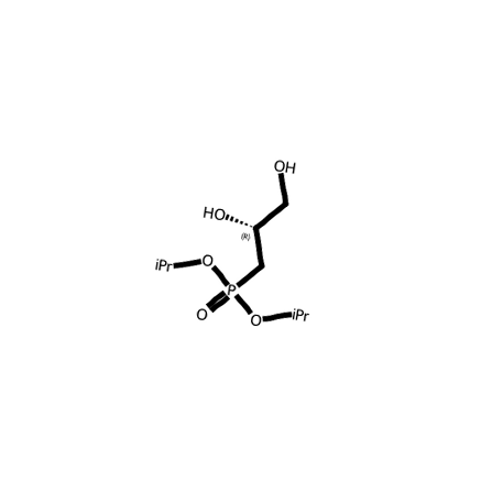 CC(C)OP(=O)(C[C@H](O)CO)OC(C)C